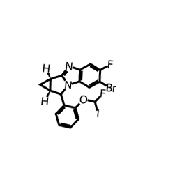 Fc1cc2nc3n(c2cc1Br)C(c1ccccc1OC(F)I)[C@@H]1C[C@H]31